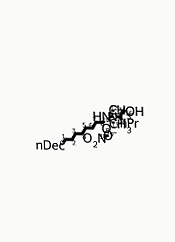 CCCCCCCCCCCCCCCCCC(=O)N[N+](C)(C)C(CO)CCC.O=[N+]([O-])[O-]